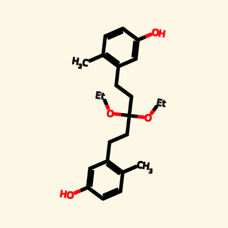 CCOC(CCc1cc(O)ccc1C)(CCc1cc(O)ccc1C)OCC